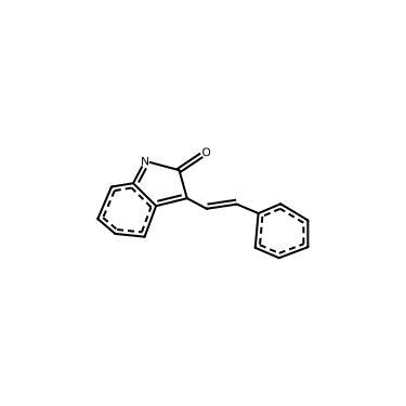 O=C1N=c2ccccc2=C1C=Cc1ccccc1